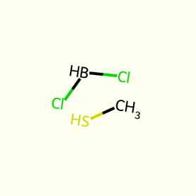 CS.ClBCl